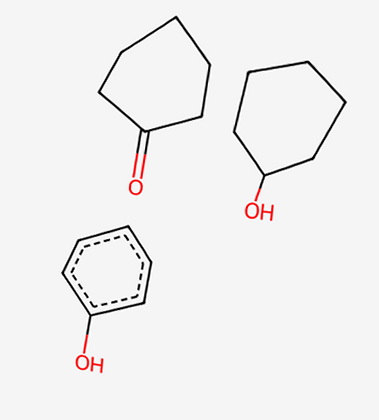 O=C1CCCCC1.OC1CCCCC1.Oc1ccccc1